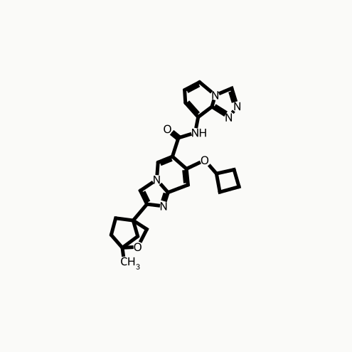 CC12CCC(c3cn4cc(C(=O)Nc5cccn6cnnc56)c(OC5CCC5)cc4n3)(CO1)C2